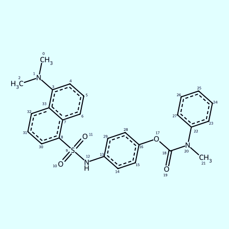 CN(C)c1cccc2c(S(=O)(=O)Nc3ccc(OC(=O)N(C)c4ccccc4)cc3)cccc12